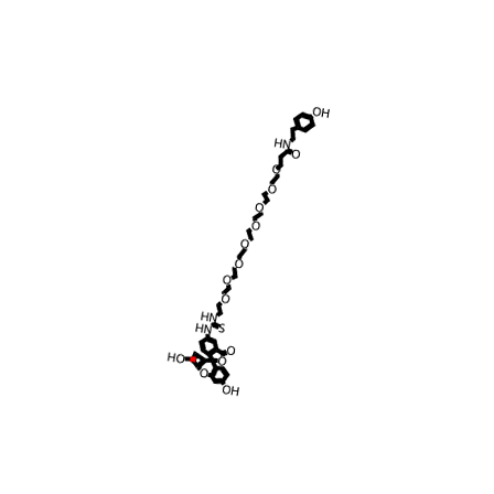 O=C(CCOCCOCCOCCOCCOCCOCCOCCOCCNC(=S)Nc1ccc2c(c1)C(=O)OC21c2ccc(O)cc2Oc2cc(O)ccc21)NCCc1ccc(O)cc1